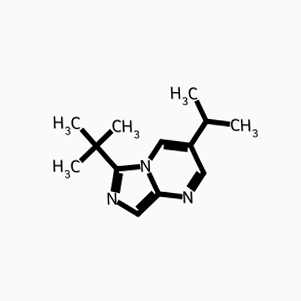 CC(C)c1cnc2cnc(C(C)(C)C)n2c1